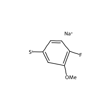 COc1cc([S-])ccc1F.[Na+]